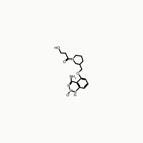 NC1=N[S+]([O-])Nc2cccc(OCC3CCCN(C(=O)CCO)C3)c21